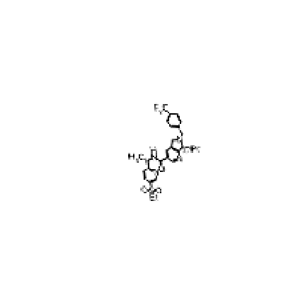 CCS(=O)(=O)c1ccc([C@H](C)NC(=O)c2cnc3c(c2)CN(Cc2ccc(C(F)(F)F)cc2)[C@H]3C(C)C)nc1